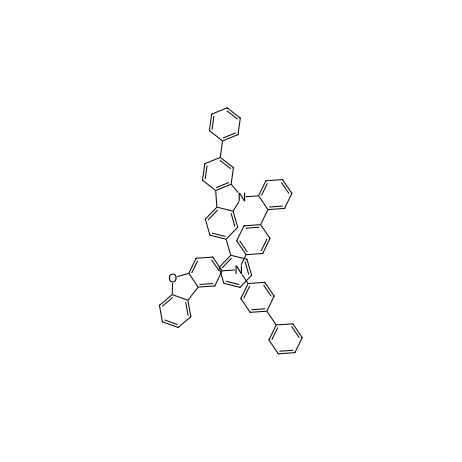 c1ccc(-c2ccc(N(c3ccc(-c4ccccc4-n4c5cc(-c6ccccc6)ccc5c5ccc(-c6ccccc6)cc54)cc3)c3ccc4oc5ccccc5c4c3)cc2)cc1